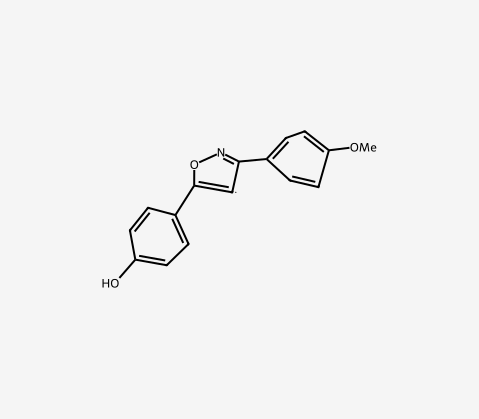 COc1ccc(-c2[c]c(-c3ccc(O)cc3)on2)cc1